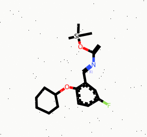 C=C(/N=C/c1cc(F)ccc1OC1CCCCC1)O[Si](C)(C)C